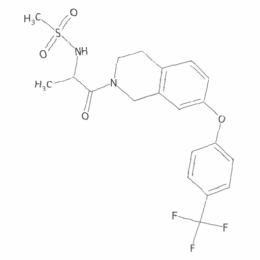 CC(NS(C)(=O)=O)C(=O)N1CCc2ccc(Oc3ccc(C(F)(F)F)cc3)cc2C1